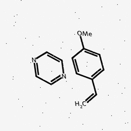 C=Cc1ccc(OC)cc1.c1cnccn1